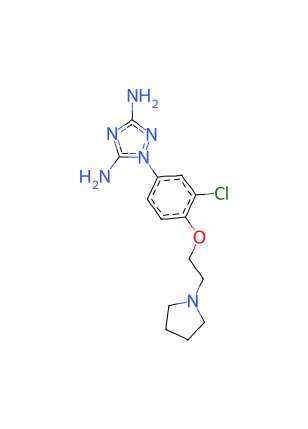 Nc1nc(N)n(-c2ccc(OCCN3CCCC3)c(Cl)c2)n1